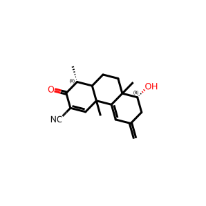 C=C1C=C2C3(C)C=C(C#N)C(=O)[C@H](C)C3CCC2(C)[C@H](O)C1